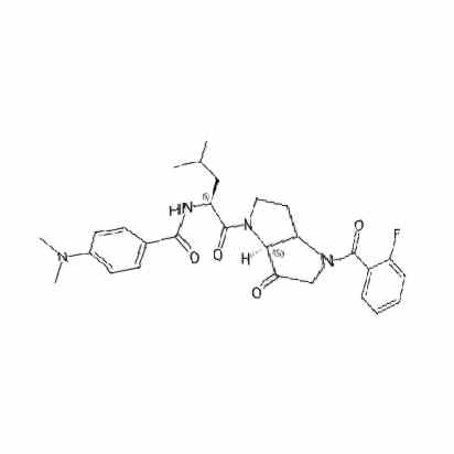 CC(C)C[C@H](NC(=O)c1ccc(N(C)C)cc1)C(=O)N1CCC2[C@H]1C(=O)CN2C(=O)c1ccccc1F